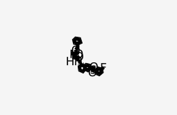 CN(CC(=O)NC[C@@H]1CCCc2cc(S(=O)(=O)c3cccc(F)c3)ccc21)C(=O)OCc1ccccc1